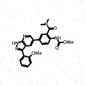 COC(=O)Nc1ccc(-c2cnc3[nH]nc(-c4ccccc4OC)c3c2)cc1C(=O)N(C)C